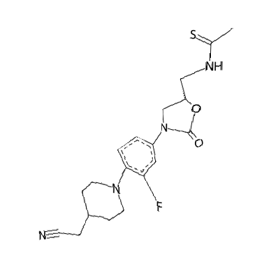 CC(=S)NCC1CN(c2ccc(N3CCC(CC#N)CC3)c(F)c2)C(=O)O1